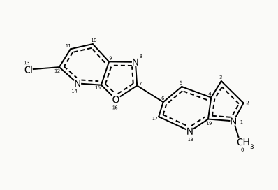 Cn1ccc2cc(-c3nc4ccc(Cl)nc4o3)cnc21